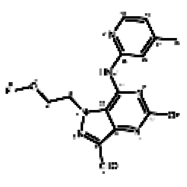 CCOCCn1nc(C=O)c2nc(Cl)nc(Nc3cc(C)ccn3)c21